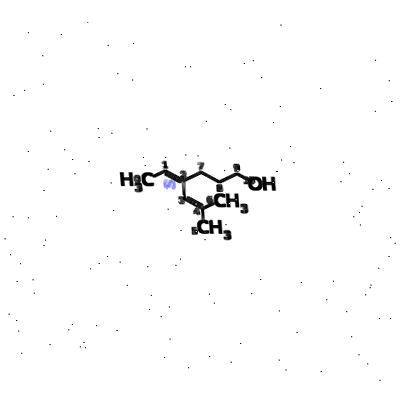 C/C=C(\C=C(C)C)CCCO